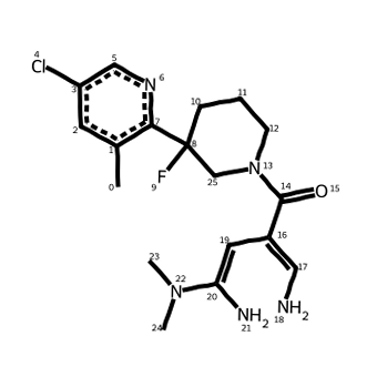 Cc1cc(Cl)cnc1C1(F)CCCN(C(=O)C(=C/N)/C=C(\N)N(C)C)C1